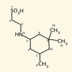 CC1CC(NCCS(=O)(=O)O)CC(C)(C)C1